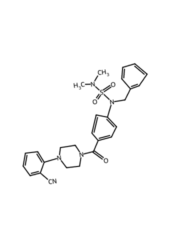 CN(C)S(=O)(=O)N(Cc1ccccc1)c1ccc(C(=O)N2CCN(c3ccccc3C#N)CC2)cc1